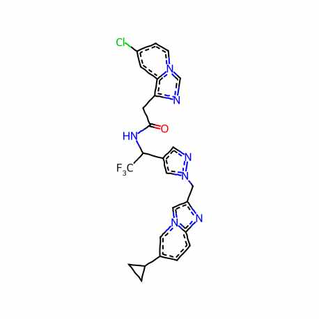 O=C(Cc1ncn2ccc(Cl)cc12)NC(c1cnn(Cc2cn3cc(C4CC4)ccc3n2)c1)C(F)(F)F